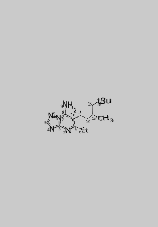 CCc1nc2ncnn2c(N)c1CCC(C)CC(C)(C)C